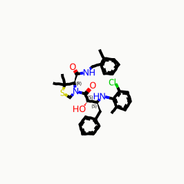 Cc1ccccc1CNC(=O)[C@H]1N(C(=O)[C@@H](O)[C@H](Cc2ccccc2)Nc2c(C)cccc2Cl)CSC1(C)C